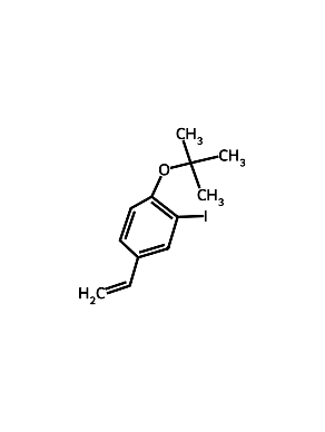 C=Cc1ccc(OC(C)(C)C)c(I)c1